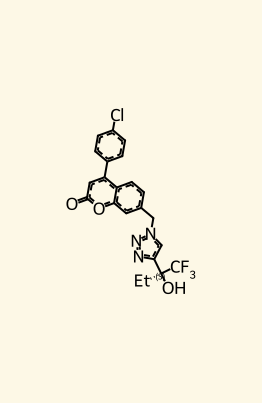 CC[C@](O)(c1cn(Cc2ccc3c(-c4ccc(Cl)cc4)cc(=O)oc3c2)nn1)C(F)(F)F